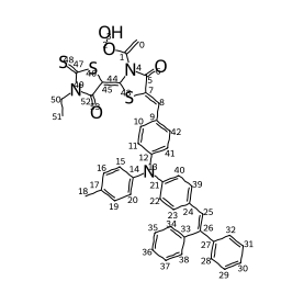 C=C(OO)n1c(=O)/c(=C/c2ccc(N(c3ccc(C)cc3)c3ccc(C=C(c4ccccc4)c4ccccc4)cc3)cc2)s/c1=C1/SC(=S)N(CC)C1=O